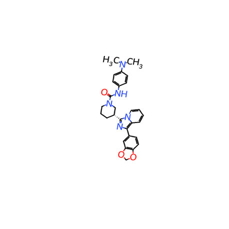 CN(C)c1ccc(NC(=O)N2CCC[C@@H](c3nc(-c4ccc5c(c4)OCO5)c4ccccn34)C2)cc1